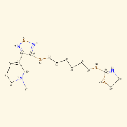 CN1CCC=C(c2nsnc2SCCCCCCSC2=NCCS2)C1